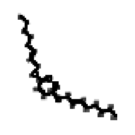 CCCCC/C=C/COC(=O)/C=C\C(=O)OC/C=C/CCCCC